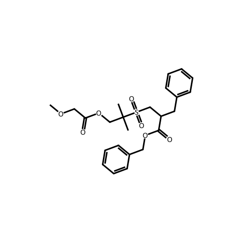 COCC(=O)OCC(C)(C)S(=O)(=O)CC(Cc1ccccc1)C(=O)OCc1ccccc1